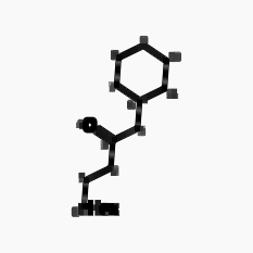 CCCCCCCCC(=O)C[C]1CCCCC1